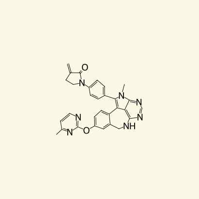 C=C1CCN(c2ccc(-c3c4c5c(ncnc5n3C)NCc3cc(Oc5nccc(C)n5)ccc3-4)cc2)C1=O